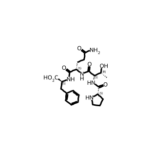 C[C@@H](O)[C@H](NC(=O)[C@@H]1CCCN1)C(=O)N[C@@H](CCC(N)=O)C(=O)N[C@@H](Cc1ccccc1)C(=O)O